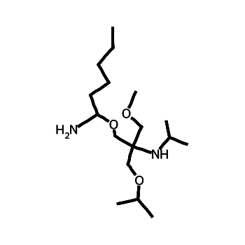 CCCCCC(N)OCC(COC)(COC(C)C)NC(C)C